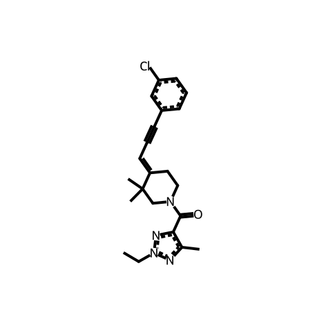 CCn1nc(C)c(C(=O)N2CC/C(=C\C#Cc3cccc(Cl)c3)C(C)(C)C2)n1